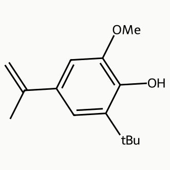 C=C(C)c1cc(OC)c(O)c(C(C)(C)C)c1